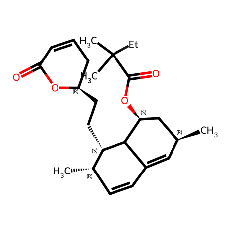 CCC(C)(C)C(=O)O[C@H]1C[C@@H](C)C=C2C=C[C@H](C)[C@H](CC[C@@H]3CC=CC(=O)O3)C21